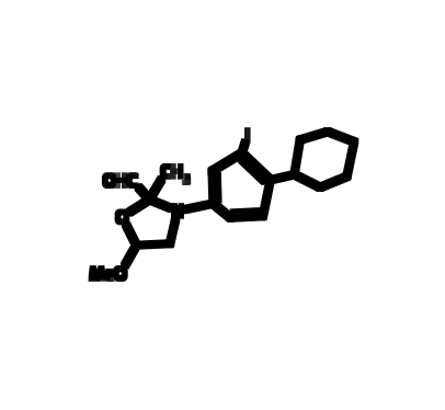 COC1CN(c2ccc(C3CCCCC3)c(I)c2)C(C)(C=O)O1